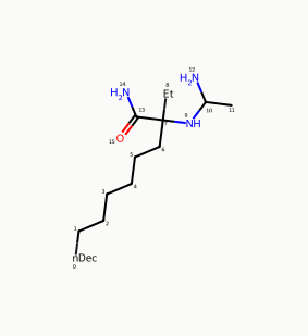 CCCCCCCCCCCCCCCCC(CC)(NC(C)N)C(N)=O